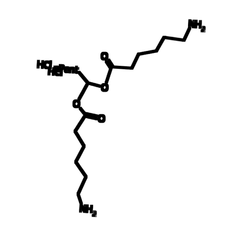 CCCCCC(OC(=O)CCCCCN)OC(=O)CCCCCN.Cl.Cl